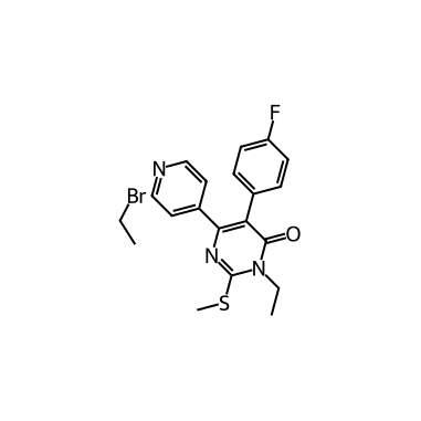 CCBr.CCn1c(SC)nc(-c2ccncc2)c(-c2ccc(F)cc2)c1=O